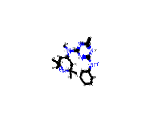 Cc1nc(NC2CCCCC2)nc(N(C)C2CC(C)(C)NC(C)(C)C2)n1